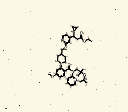 CCOC(=O)CC(c1ccnc(OCC2CCN(c3cc(OC)ccc3C(=O)N(CC(C)(C)OC(C)C)c3ccccn3)CC2)c1)C1CC1